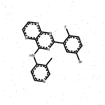 Cc1cnccc1Nc1nc(-c2cc(Br)ccc2F)nc2nccnc12